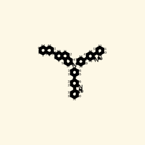 c1ccc2cc(-c3ccc4c(ccc5cc(N(c6ccc(-c7ccc8c(c7)nnc7ccccc78)cc6)c6ccc(-c7ccc8c(c7)nnc7ccccc78)cc6)ccc54)c3)ccc2c1